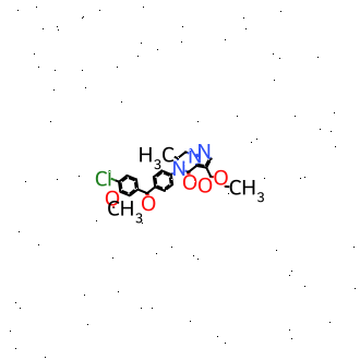 CCOC(=O)c1cnn2c1C(=O)N(c1ccc(C(=O)c3ccc(Cl)c(OC)c3)cc1)C(C)C2